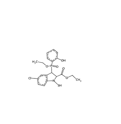 CCOC(=O)C1C(P(=O)(OCC)c2ccccc2O)c2cc(Cl)ccc2N1S